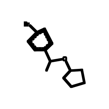 CC(OC1CCCC1)c1ccc(Br)cc1